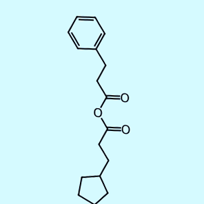 O=C(CCc1ccccc1)OC(=O)CCC1CCCC1